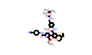 COC(=O)c1nc(C(=O)NC2CCC(C#N)CC2)ccc1-c1cc2c(cc1C(=O)Nc1ccc(CNC(=O)OC(C)(C)C)cc1C)-c1sccc1CCO2